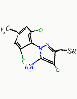 CSc1nn(-c2c(Cl)cc(C(F)(F)F)cc2Cl)c(N)c1Cl